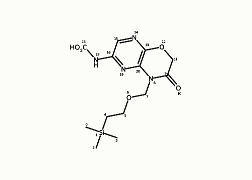 C[Si](C)(C)CCOCN1C(=O)COc2ncc(NC(=O)O)nc21